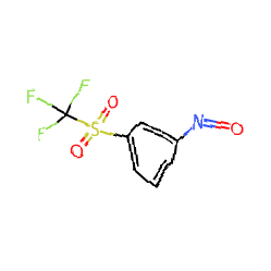 O=Nc1cccc(S(=O)(=O)C(F)(F)F)c1